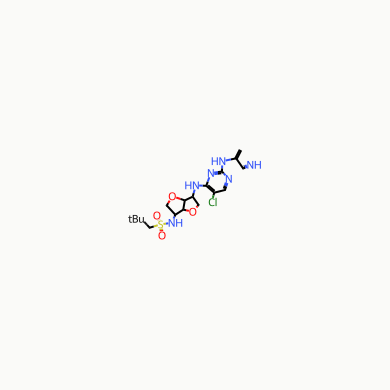 C=C(C=N)Nc1ncc(Cl)c(NC2COC3C(NS(=O)(=O)CC(C)(C)C)COC23)n1